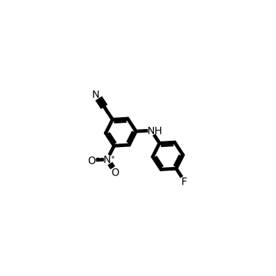 N#Cc1cc(Nc2ccc(F)cc2)cc([N+](=O)[O-])c1